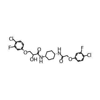 O=C(COc1ccc(Cl)c(F)c1)N[C@H]1CC[C@H](NC(=O)C(O)COc2ccc(Cl)c(F)c2)CC1